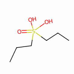 CCCS(=O)(O)(O)CCC